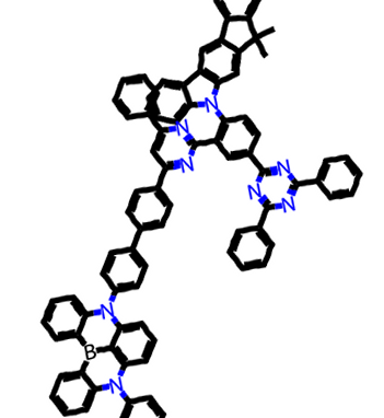 CC1(C)c2ccccc2-c2cc3c4ccccc4n(-c4ccc(-c5nc(-c6ccccc6)nc(-c6ccccc6)n5)cc4-c4nc(-c5ccccc5)cc(-c5ccc(-c6ccc(N7c8ccccc8B8c9ccccc9N(c9ccccc9)c9cccc7c98)cc6)cc5)n4)c3cc21